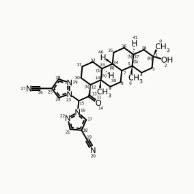 C[C@@]1(O)CC[C@]2(C)C3CC[C@]4(C)[C@@H](C(=O)C(n5cc(C#N)cn5)n5cc(C#N)cn5)CCC[C@H]4[C@@H]3CC[C@H]2C1